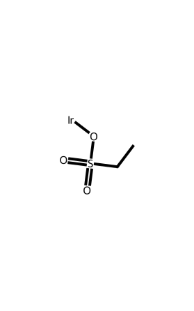 CCS(=O)(=O)[O][Ir]